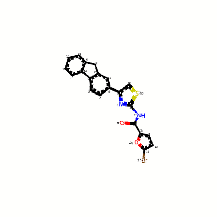 O=C(Nc1nc(-c2ccc3c(c2)Cc2ccccc2-3)cs1)c1ccc(Br)o1